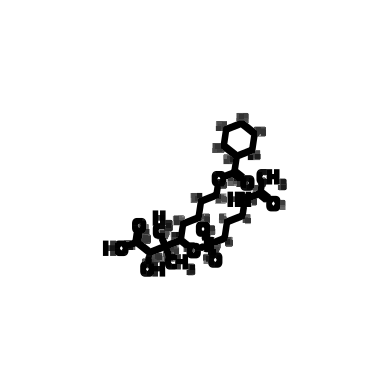 CC(=O)NCCCS(=O)(=O)OC(CCCCOC(=O)C1CCCCC1)C(C)(C)[C@@H](O)C(=O)O